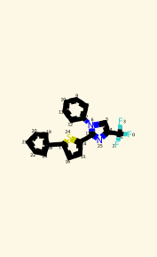 FC(F)(F)c1cn(-c2ccccc2)c(-c2ccc(-c3ccccc3)s2)n1